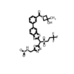 CC1(O)CN(C(=O)c2cccc(-c3ccc4nc(C(c5nnc(CN[SH](=O)=O)o5)S(=O)(=O)CCC(F)(F)F)sc4c3)c2)C1